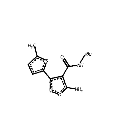 CCC(C)NC(=O)c1c(-c2ccc(C)s2)noc1N